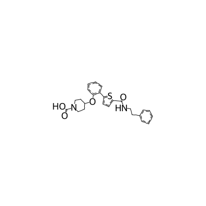 O=C(NCCc1ccccc1)c1ccc(-c2ccccc2OC2CCN(C(=O)O)CC2)s1